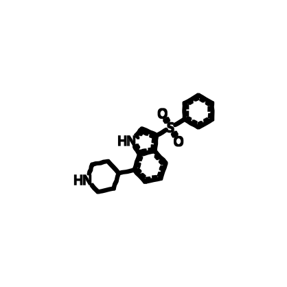 O=S(=O)(c1ccccc1)c1c[nH]c2c(C3CCNCC3)cccc12